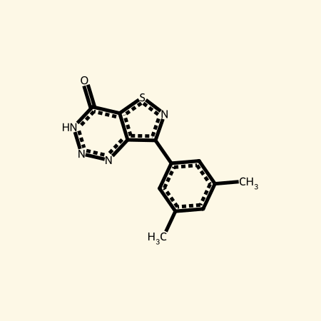 Cc1cc(C)cc(-c2nsc3c(=O)[nH]nnc23)c1